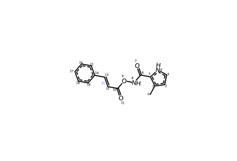 Cc1cc[nH]c1C(=O)NOC(=O)/C=C/c1ccccc1